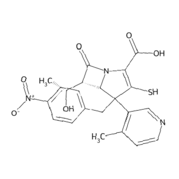 Cc1ccncc1C1(Cc2ccc([N+](=O)[O-])cc2)C(S)=C(C(=O)O)N2C(=O)[C@@H]([C@@H](C)O)C21